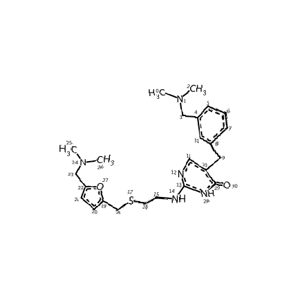 CN(C)Cc1cccc(Cc2cnc(NCCSCc3ccc(CN(C)C)o3)[nH]c2=O)c1